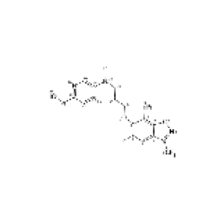 CCCC1=c2onc(C(F)(F)F)c2=CC(C)C1OCCCN(C)c1cnc(CO)cn1